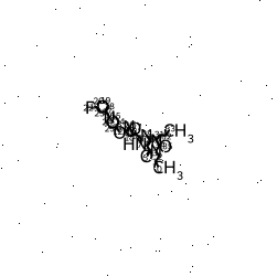 CCCn1c(=O)c2[nH]c(-c3cc(OC4CCN(c5cccc(F)c5)CC4)no3)nc2n(CCC)c1=O